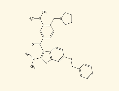 CN(C)c1cc(C(=O)c2c(N(C)C)sc3cc(OCc4ccccc4)ccc23)ccc1CN1CCCC1